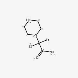 CCC(CC)(C(N)=O)N1CCNCC1